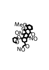 COc1cccc2c1C(=O)c1c(N=O)c3c(c(N=O)c1C2=O)CC(C(=O)CN=O)C[C@H]3O[C@H]1CCCCO1